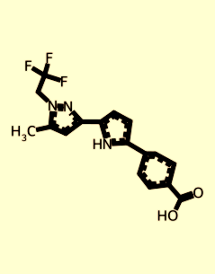 Cc1cc(-c2ccc(-c3ccc(C(=O)O)cc3)[nH]2)nn1CC(F)(F)F